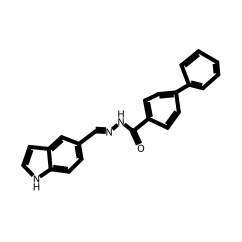 O=C(N/N=C/c1ccc2[nH]ccc2c1)c1ccc(-c2ccccc2)cc1